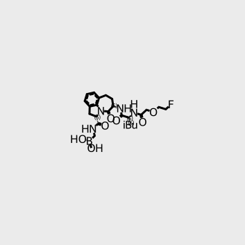 CC[C@H](C)[C@H](NC(=O)COCCF)C(=O)N[C@H]1CCc2cccc3c2N(C1=O)[C@H](C(=O)NCB(O)O)C3